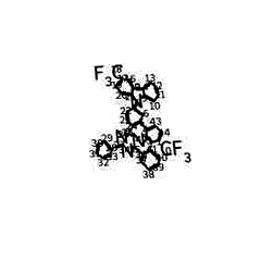 FC(F)(F)c1ccc(-c2cc(-n3c4ccccc4c4cc(C(F)(F)F)ccc43)ccc2-c2nc(-c3ccccc3)nc(-c3ccccc3)n2)cc1